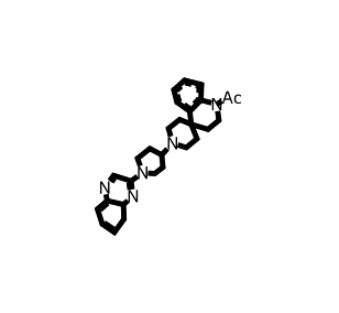 CC(=O)N1CCC2(CCN(C3CCN(C4=NC5CC=CC=C5N=C4)CC3)CC2)c2ccccc21